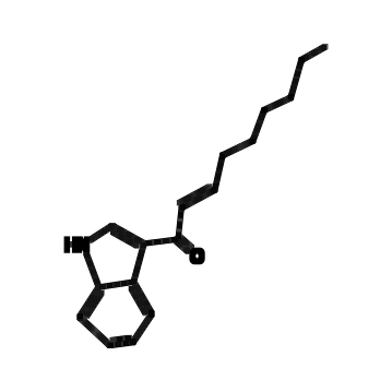 CCCCCCC=CC(=O)c1c[nH]c2ccccc12